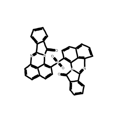 O=C1c2ccccc2C2=Nc3cccc4ccc(S(=O)(=O)c5ccc6cccc7c6c5N5C(=O)c6ccccc6C5=N7)c(c34)N12